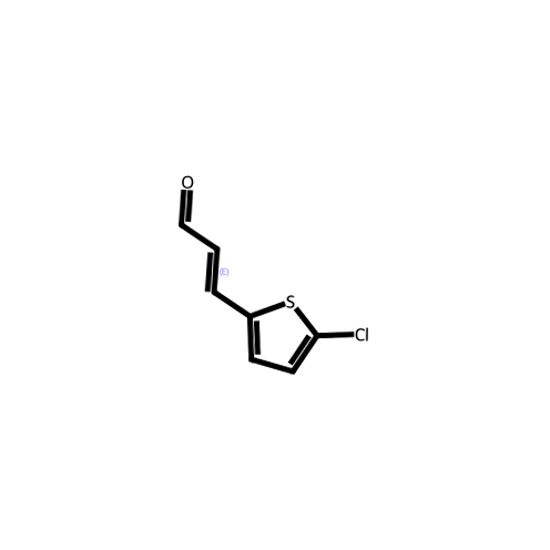 O=C/C=C/c1ccc(Cl)s1